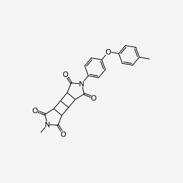 Cc1ccc(Oc2ccc(N3C(=O)C4C(C3=O)C3C5C(=O)N(C)C(=O)C5C43)cc2)cc1